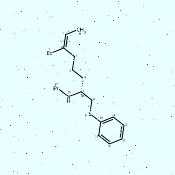 C/C=C(/CC)CCC[C@H](CSc1ccccc1)NC(C)C